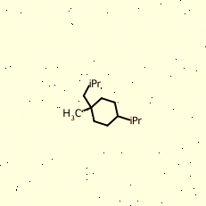 CC(C)CC1(C)C[CH]C(C(C)C)CC1